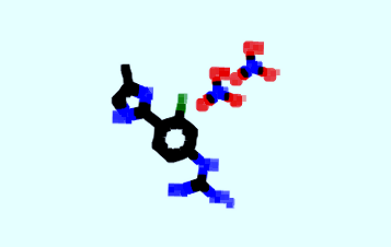 Cc1c[nH]c(-c2ccc(NC(=N)N)cc2F)n1.O=[N+]([O-])O.O=[N+]([O-])O